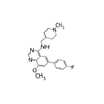 COc1cc(-c2ccc(F)cc2)cc2c(NCC3CCN(C)CC3)ncnc12